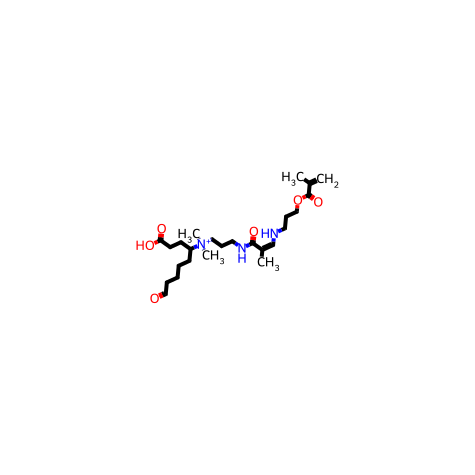 C=C(C)C(=O)OCCCNC=C(C)C(=O)NCCC[N+](C)(C)C(CCCCC=O)CCC(=O)O